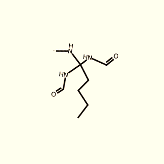 [CH2]NC(CCCC)(NC=O)NC=O